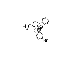 C[C@H]1CC[C@H](c2ccccc2)S(=O)(=O)N1Cc1ccc(Br)cc1F